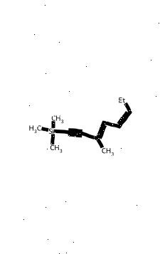 CC/C=C\C=C(/C)C#C[Si](C)(C)C